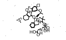 C#CC(C)Oc1cc(N2C(=O)C3=C(CCCC3)C2=O)c(F)cc1Cl.CC1(C)CON(Cc2ccccc2Cl)C1=O.C[S+](C)C.O=C(O)CNCP(=O)([O-])O